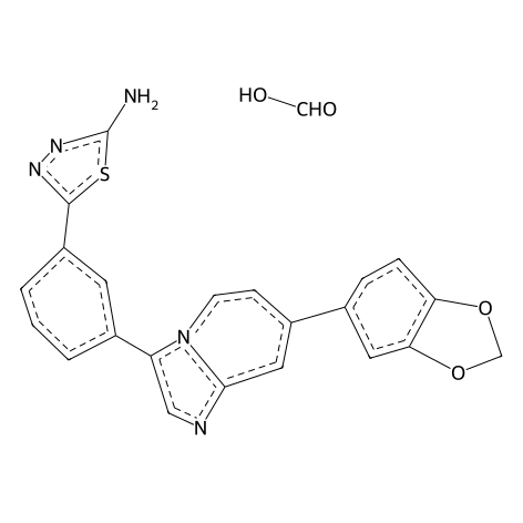 Nc1nnc(-c2cccc(-c3cnc4cc(-c5ccc6c(c5)OCO6)ccn34)c2)s1.O=CO